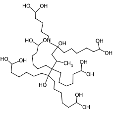 CC(CC(O)(CCCCCC(O)O)CCCCCC(O)O)C(CCCCCC(O)O)(CCCCCC(O)O)C(O)(CCCCCC(O)O)CCCCCC(O)O